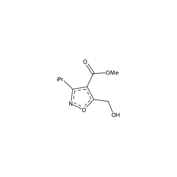 COC(=O)c1c(C(C)C)noc1CO